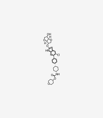 O=C(N[C@H]1CC[C@@H](c2ccc(-c3nc4[nH]c(O[C@@H]5CO[C@H]6[C@@H]5OC[C@H]6O)nc4cc3Cl)cc2)CC1)OC1CCOCC1